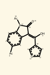 CC(=O)c1ccc2c(c1)/C(=C(/O)c1ccoc1)C(=O)N2C(C)=O